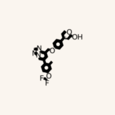 C=C[C@@H](CC(=O)O)c1ccc(OCc2cc(-c3ccc(OC(F)F)cc3C)cn3ncnc23)cc1